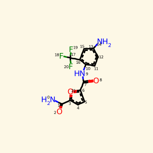 NC(=O)c1ccc(C(=O)Nc2ccc(N)cc2C(F)(F)F)o1